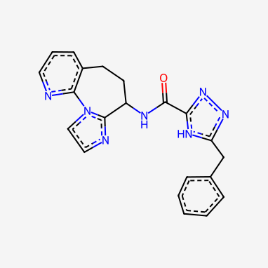 O=C(NC1CCc2cccnc2-n2ccnc21)c1nnc(Cc2ccccc2)[nH]1